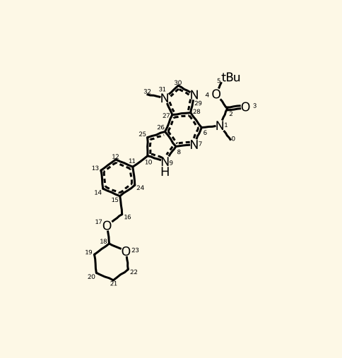 CN(C(=O)OC(C)(C)C)c1nc2[nH]c(-c3cccc(COC4CCCCO4)c3)cc2c2c1ncn2C